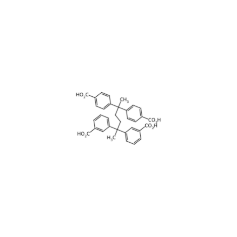 CC(CCC(C)(c1cccc(C(=O)O)c1)c1cccc(C(=O)O)c1)(c1ccc(C(=O)O)cc1)c1ccc(C(=O)O)cc1